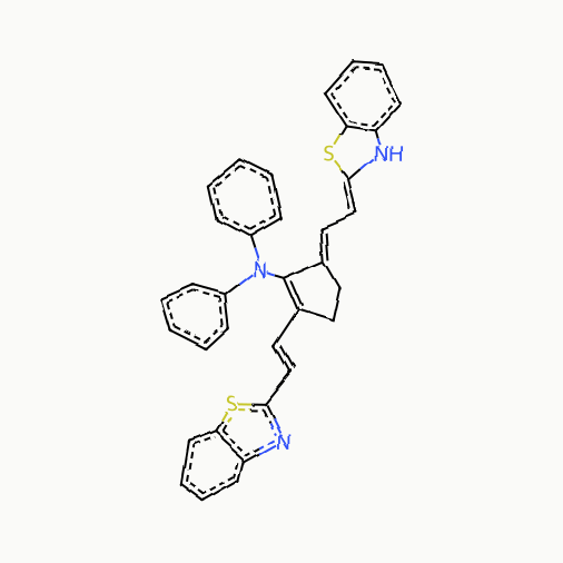 C(=Cc1nc2ccccc2s1)C1=C(N(c2ccccc2)c2ccccc2)C(=CC=C2Nc3ccccc3S2)CC1